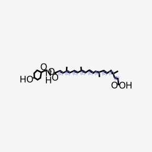 CC(=C/C=C/C(C)=C/C=C/C=C(C)/C=C/C=C(C)/C=C/C(=O)ONC(=O)C1CCC(O)CC1)/C=C/C(=O)O